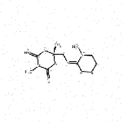 CN1C(=N)N[C@](C)(C/N=C2/CCCCN2C)CC1=O